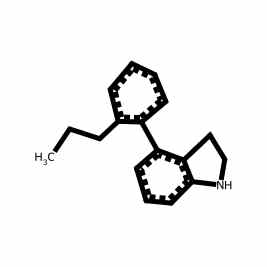 CCCc1ccccc1-c1cccc2c1CCN2